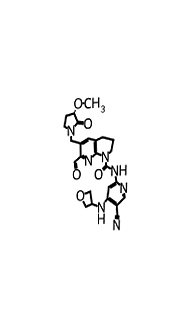 CO[C@H]1CCN(Cc2cc3c(nc2C=O)N(C(=O)Nc2cc(NC4COC4)c(C#N)cn2)CCC3)C1=O